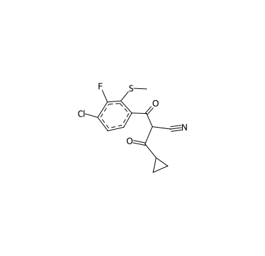 CSc1c(C(=O)C(C#N)C(=O)C2CC2)ccc(Cl)c1F